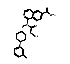 COC(=O)c1ccc2c(N(C[C@H]3CC[C@H](c4cccc(C)c4)CC3)C(=O)CC(C)(C)C)nccc2c1